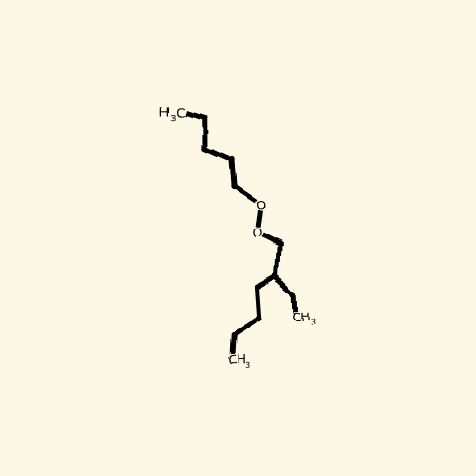 CCCCCOOCC(CC)CCCC